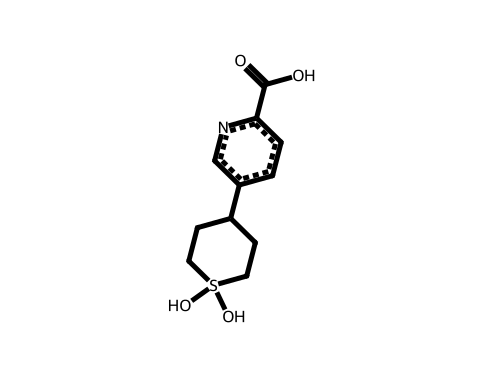 O=C(O)c1ccc(C2CCS(O)(O)CC2)cn1